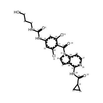 O=C(NCCCO)Nc1cc(Cl)c(C(=O)n2ccc3c(NC(=O)C4CC4)nccc32)c(Cl)c1